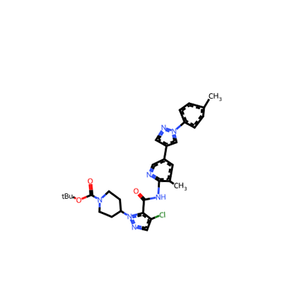 Cc1ccc(-n2cc(-c3cnc(NC(=O)c4c(Cl)cnn4C4CCN(C(=O)OC(C)(C)C)CC4)c(C)c3)cn2)cc1